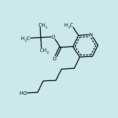 Cc1nccc(CCCCCO)c1C(=O)OC(C)(C)C